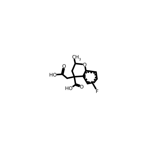 CC1CC(CC(=O)O)(C(=O)O)c2cc(F)ccc2O1